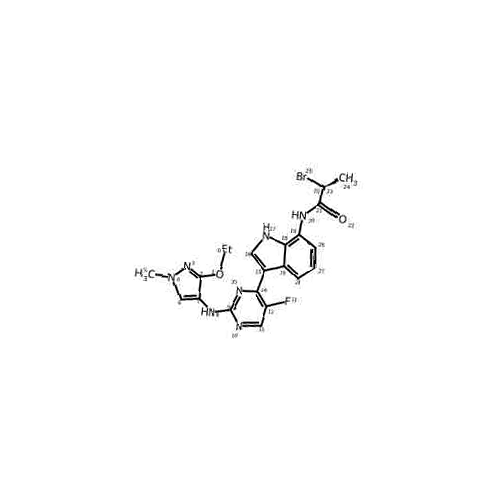 CCOc1nn(C)cc1Nc1ncc(F)c(-c2c[nH]c3c(NC(=O)[C@H](C)Br)cccc23)n1